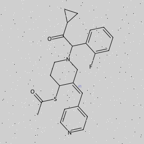 CC(=O)SC1CCN(C(C(=O)C2CC2)c2ccccc2F)C/C1=C/c1ccncc1